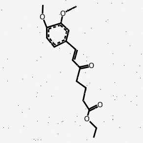 CCOC(=O)CCCC(=O)C=Cc1ccc(OC)c(OC)c1